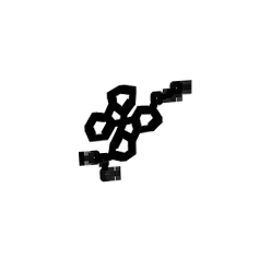 OBOc1ccc2c(c1)C1(c3ccccc3-c3ccccc31)c1cc(B(O)O)ccc1-2